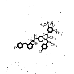 CCC(c1ccc(Cl)cc1)C(N1CCC(Nc2nc3c(Cc4ccc(F)cc4)cccc3[nH]2)CC1)N(C)C(=O)c1cc(OC)c(OC)c(OC)c1